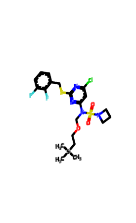 C[Si](C)(C)CCOCN(c1cc(Cl)nc(SCc2cccc(F)c2F)n1)S(=O)(=O)N1CCC1